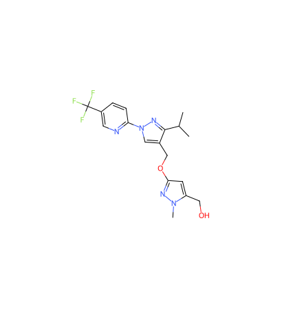 CC(C)c1nn(-c2ccc(C(F)(F)F)cn2)cc1COc1cc(CO)n(C)n1